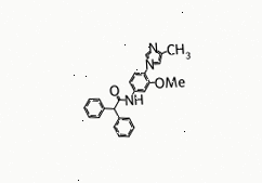 COc1cc(NC(=O)C(c2ccccc2)c2ccccc2)ccc1-n1cnc(C)c1